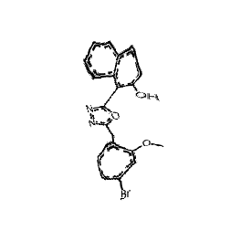 COc1cc(Br)ccc1-c1nnc(-c2c(O)ccc3ccccc23)o1